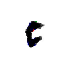 CN(C)[C@@H](C(=O)N1CCC[C@H]1c1ncc(-c2ccc(-c3ccc(-c4cnc([C@@H]5CCCN5C(=O)c5ccccc5F)[nH]4)cc3)cc2)[nH]1)c1ccccc1